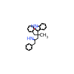 CC(CC(=N)Cc1ccccc1)(Cc1ccccc1)c1c[nH]c2ccccc12